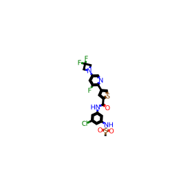 CS(=O)(=O)Nc1cc(Cl)cc(NC(=O)c2cc(-c3ncc(N4CC(F)(F)C4)cc3F)cs2)c1